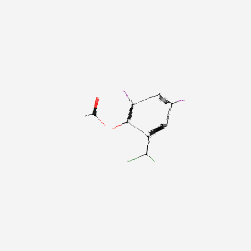 CC(=O)Oc1c(I)cc(I)cc1C(Cl)Cl